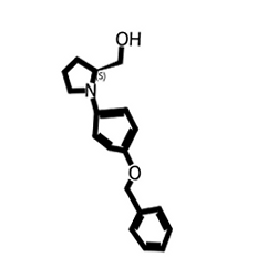 OC[C@@H]1CCCN1c1ccc(OCc2ccccc2)cc1